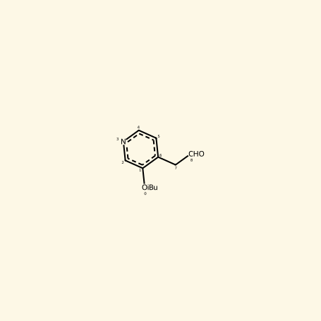 CC(C)COc1cnccc1CC=O